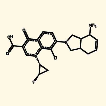 NC1C=CCC2CN(c3ccc4c(=O)c(C(=O)O)cn([C@@H]5C[C@H]5F)c4c3Cl)CC12